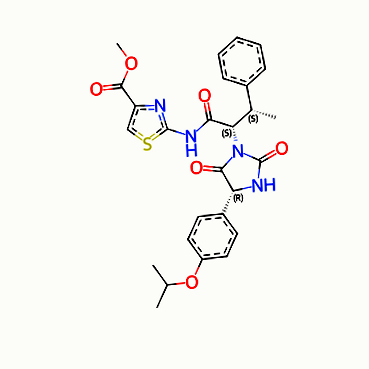 COC(=O)c1csc(NC(=O)[C@H]([C@@H](C)c2ccccc2)N2C(=O)N[C@H](c3ccc(OC(C)C)cc3)C2=O)n1